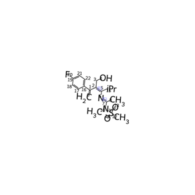 C=C(/C(CO)=C(\N=C(/C)N(C)S(C)(=O)=O)C(C)C)c1ccc(F)cc1